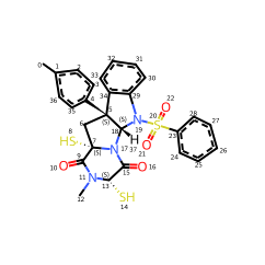 Cc1ccc([C@]23C[C@]4(S)C(=O)N(C)[C@@H](S)C(=O)N4[C@H]2N(S(=O)(=O)c2ccccc2)c2ccccc23)cc1